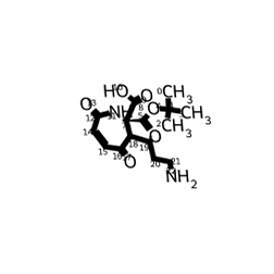 CC(C)(C)OC(=O)[C@]1(C(=O)O)NC(=O)C=CC(=O)C1CCCN